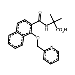 CC(C)(NC(=O)c1ccc2ccccc2c1OCc1ccccn1)C(=O)O